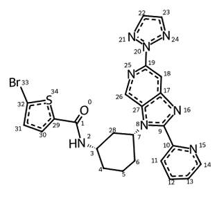 O=C(N[C@H]1CCC[C@@H](n2c(-c3ccccn3)nc3cc(-n4nccn4)ncc32)C1)c1ccc(Br)s1